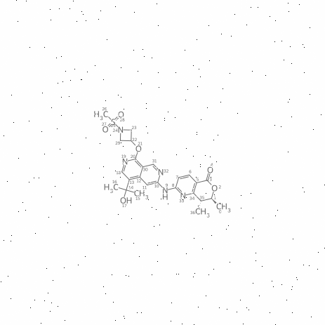 C[C@@H]1OC(=O)c2ccc(Nc3cc4c(C(C)(C)O)cnc(OC5CN(S(C)(=O)=O)C5)c4cn3)nc2[C@H]1C